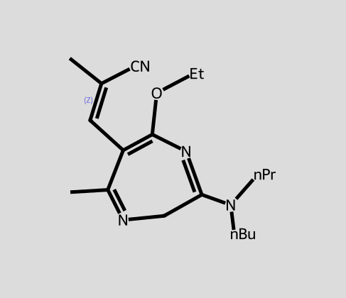 CCCCN(CCC)C1=NC(OCC)=C(/C=C(/C)C#N)C(C)=NC1